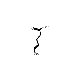 CCCC=CCCC(=O)OC